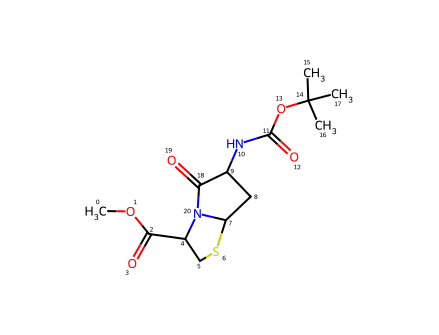 COC(=O)C1CSC2CC(NC(=O)OC(C)(C)C)C(=O)N21